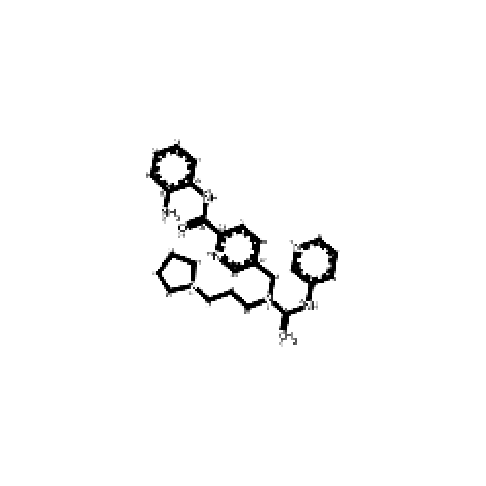 C=C(Nc1cccnc1)N(CCCN1CCCC1)Cc1ccc(C(=O)Nc2ccccc2N)nc1